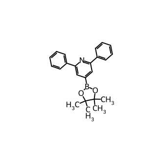 CC1(C)OB(c2cc(-c3ccccc3)nc(-c3ccccc3)c2)OC1(C)C